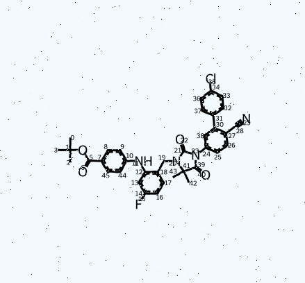 CC(C)(C)OC(=O)c1ccc(Nc2cc(F)ccc2CN2C(=O)N(c3ccc(C#N)c(-c4ccc(Cl)cc4)c3)C(=O)C2(C)C)cc1